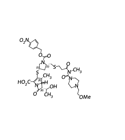 COCCN1CCN(C(=O)N(C)C(=O)CCSC[C@@H]2C[C@H](SC3=C(C(=O)O)N4C(=O)[C@@H](C(C)O)[C@H]4[C@H]3C)CN2C(=O)OCc2ccc([N+](=O)[O-])cc2)CC1